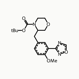 COc1ccc(CC2COCCN2C(=O)OC(C)(C)C)cc1-c1ncon1